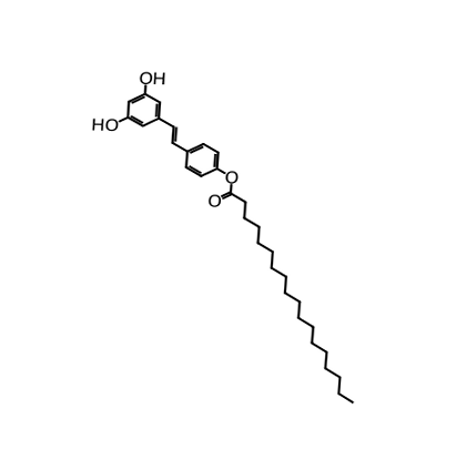 CCCCCCCCCCCCCCCCCC(=O)Oc1ccc(C=Cc2cc(O)cc(O)c2)cc1